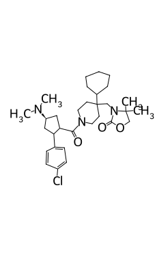 CN(C)[C@H]1CC(C(=O)N2CCC(CN3C(=O)OCC3(C)C)(C3CCCCC3)CC2)C(c2ccc(Cl)cc2)C1